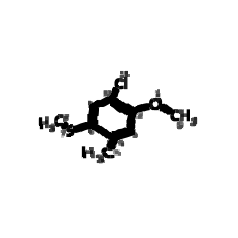 COc1cc(C)c(SC)cc1Cl